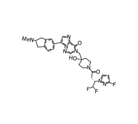 CNC1Cc2ccc(-c3cnc4c(=O)n(CC5(O)CCN(C(=O)C[C@@H](C(F)F)n6ccc(F)n6)CC5)cnn34)cc2C1